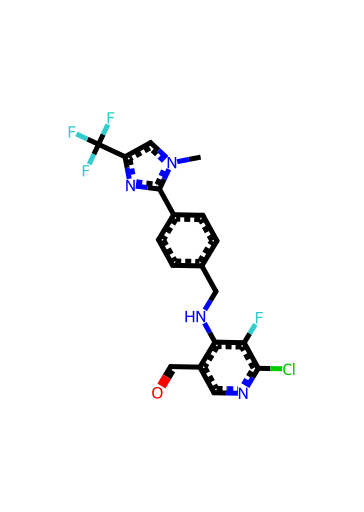 Cn1cc(C(F)(F)F)nc1-c1ccc(CNc2c(C=O)cnc(Cl)c2F)cc1